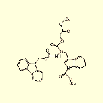 CC(C)(C)OC(=O)COC(=O)[C@H](Cc1cn(C(=O)OC(C)(C)C)c2ccccc12)NC(=O)OCC1c2ccccc2-c2ccccc21